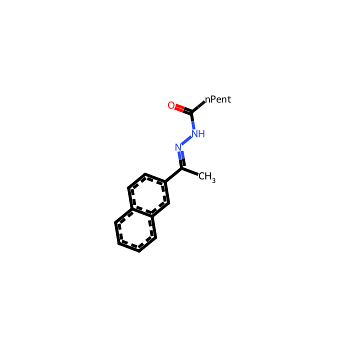 CCCCCC(=O)NN=C(C)c1ccc2ccccc2c1